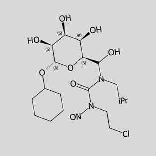 CC(C)CN(C(=O)N(CCCl)N=O)C(O)[C@H]1O[C@H](OC2CCCCC2)[C@@H](O)[C@@H](O)[C@H]1O